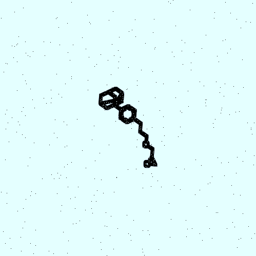 c1cc(C23CC4CC(CC(C4)C2)C3)ccc1CCCOCC1CO1